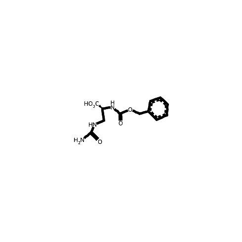 NC(=O)NC[C@H](NC(=O)OCc1ccccc1)C(=O)O